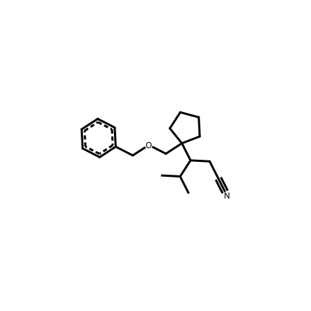 CC(C)C(CC#N)C1(COCc2ccccc2)CCCC1